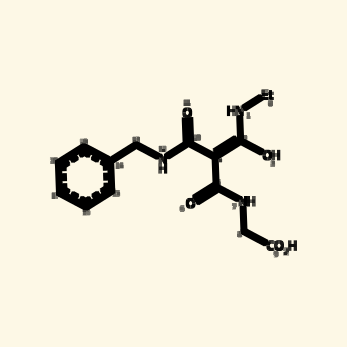 CCN/C(O)=C(/C(=O)NCC(=O)O)C(=O)NCc1ccccc1